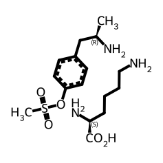 C[C@@H](N)Cc1ccc(OS(C)(=O)=O)cc1.NCCCC[C@H](N)C(=O)O